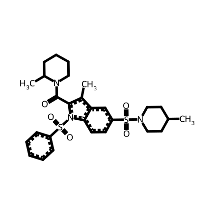 Cc1c(C(=O)N2CCCCC2C)n(S(=O)(=O)c2ccccc2)c2ccc(S(=O)(=O)N3CCC(C)CC3)cc12